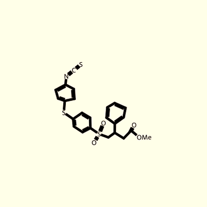 COC(=O)CC(CS(=O)(=O)c1ccc(Sc2ccc(N=C=S)cc2)cc1)c1ccccc1